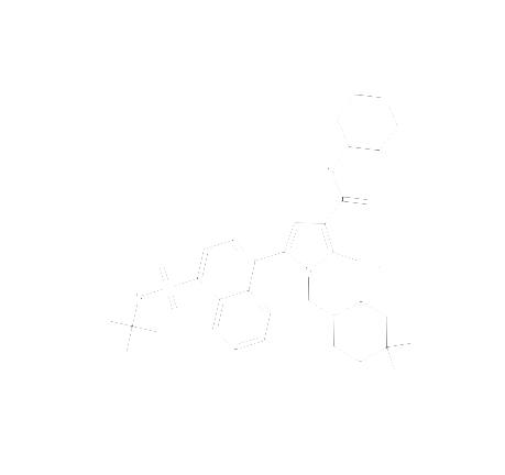 Cc1c(C(=O)NC2CCOCC2)cc(-c2ccc(S(=O)(=O)NC(C)(C)C)c3ccccc23)n1CC1CCC(F)(F)CC1